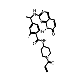 C=CC(=O)N1CCC(NC(=O)c2ccc(C(C)Nc3ncc4ccc(=O)n(C(C)C)c4n3)cc2F)CC1